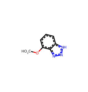 O=C(O)Oc1cccc2[nH]nnc12